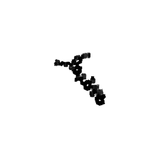 COCCOCC(=O)N(C)C(CC(=O)O)c1ccc(N(C)C(=O)Cc2ccc(NC(=O)Nc3ccccc3C)c(OC)c2)cn1